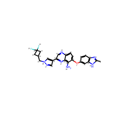 Cc1nc2ccc(Oc3ccc4ncc(-c5cnn(CC6CC(F)(F)C6)c5)nc4c3N)cc2[nH]1